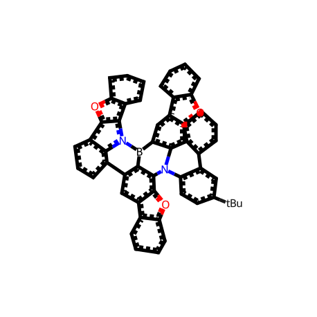 CC(C)(C)c1ccc(N2c3cc4oc5ccccc5c4cc3B3c4c(cc5c(oc6ccccc65)c42)-c2cccc4c5oc6ccccc6c5n3c24)c(-c2ccccc2)c1